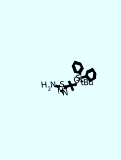 CC(C)(CO[Si](c1ccccc1)(c1ccccc1)C(C)(C)C)c1nnc(N)s1